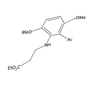 CCOC(=O)CCNc1c(OC)ccc(OC)c1C(C)=O